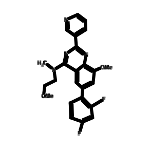 COCCN(C)c1nc(-c2cccnc2)nc2c(OC)cc(-c3ccc(F)cc3F)cc12